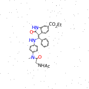 CCOC(=O)c1ccc2c(c1)NC(=O)/C2=C(\Nc1ccc(N(C)C(=O)CNC(C)=O)cc1)c1ccccc1